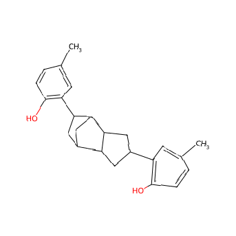 Cc1ccc(O)c(C2CC3C4CC(c5cc(C)ccc5O)C(C4)C3C2)c1